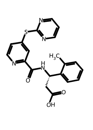 Cc1ccccc1[C@H](CC(=O)O)NC(=O)c1cc(Sc2ncccn2)ccn1